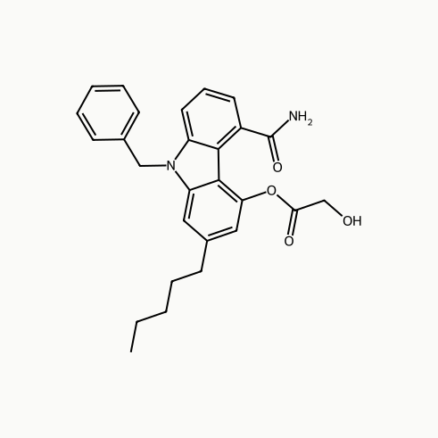 CCCCCc1cc(OC(=O)CO)c2c3c(C(N)=O)cccc3n(Cc3ccccc3)c2c1